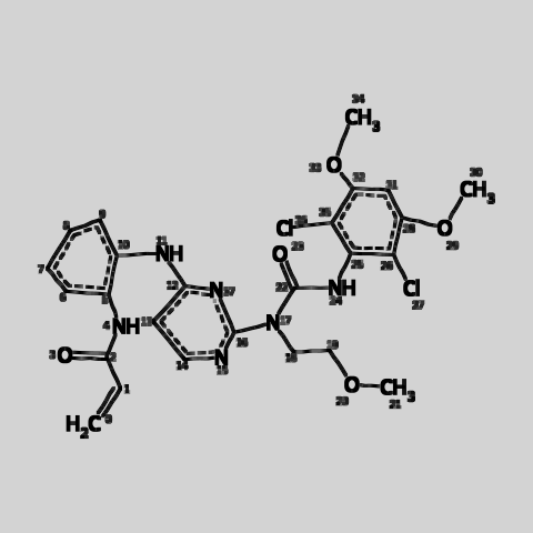 C=CC(=O)Nc1ccccc1Nc1ccnc(N(CCOC)C(=O)Nc2c(Cl)c(OC)cc(OC)c2Cl)n1